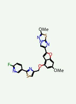 COc1cc(OCc2csc(-c3ccc(F)nc3)n2)c2cc(-c3cn4nc(OC)sc4n3)oc2c1